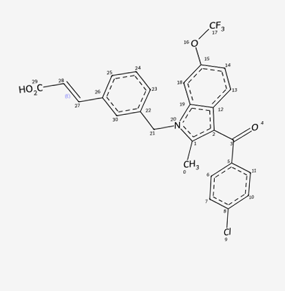 Cc1c(C(=O)c2ccc(Cl)cc2)c2ccc(OC(F)(F)F)cc2n1Cc1cccc(/C=C/C(=O)O)c1